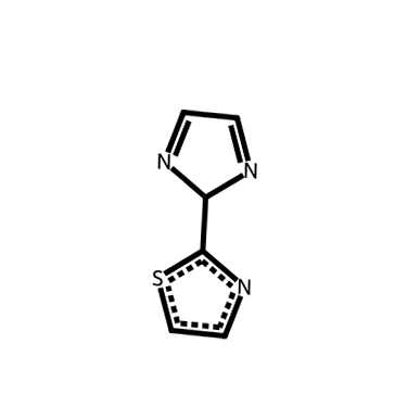 C1=NC(c2nccs2)N=C1